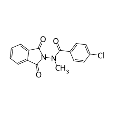 CN(C(=O)c1ccc(Cl)cc1)N1C(=O)c2ccccc2C1=O